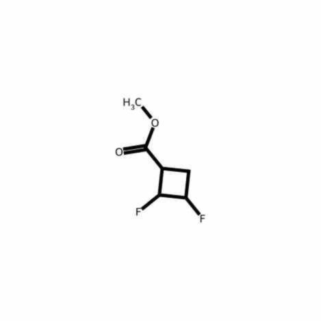 COC(=O)C1CC(F)C1F